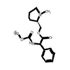 CN1CCC[C@@H]1COC(=O)C(NC(=O)OC(C)(C)C)c1ccccc1